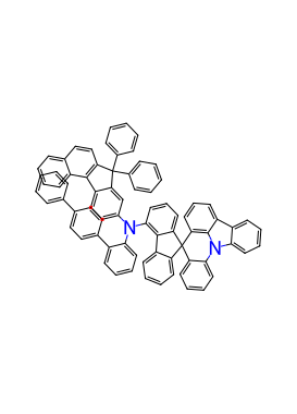 c1ccc(-c2ccc(-c3ccccc3N(c3ccc4c(c3)C(c3ccccc3)(c3ccccc3)c3ccc5ccccc5c3-4)c3cccc4c3-c3ccccc3C43c4ccccc4-n4c5ccccc5c5cccc3c54)cc2)cc1